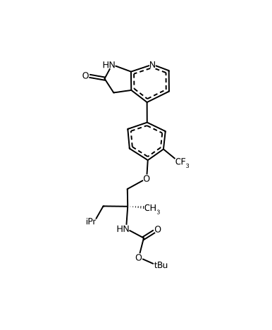 CC(C)C[C@@](C)(COc1ccc(-c2ccnc3c2CC(=O)N3)cc1C(F)(F)F)NC(=O)OC(C)(C)C